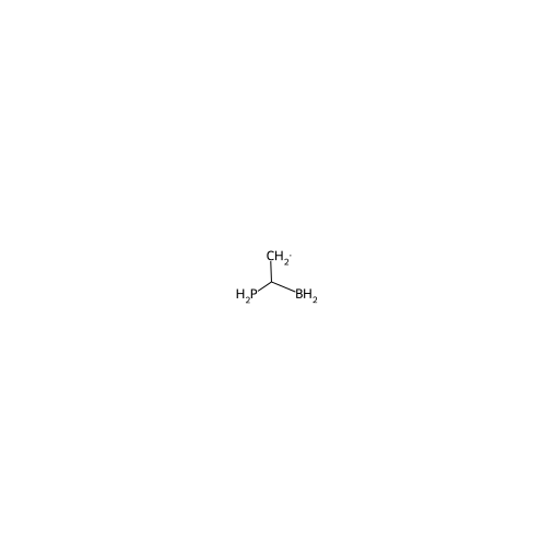 BC([CH2])P